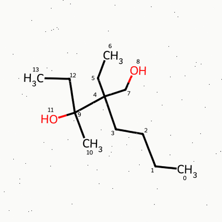 CCCCC(CC)(CO)C(C)(O)CC